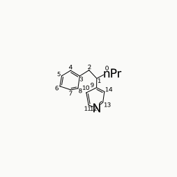 CCCC(Cc1ccccc1)c1ccncc1